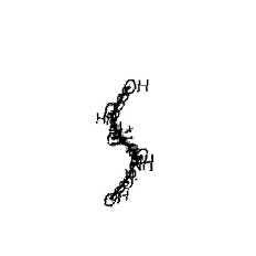 O=C(NCSC/N=C/[S+]([O-])CSCSCO)SCCSCC[S+]([O-])/C=N/CSCNC(=O)SCSCSCO